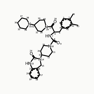 Cc1ccc(CC(NC(=O)N2CCC(N3Cc4ccccc4NC3=O)CC2)C(=O)N2CCC(N3CCCCC3)CC2)cc1C